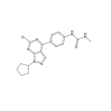 CNC(=O)Nc1ccc(-c2nc(Cl)nc3c2cnn3C2CCCC2)cc1